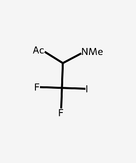 CNC(C(C)=O)C(F)(F)I